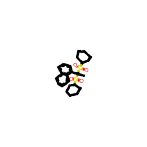 CC(c1cccc2ccccc12)(S(=O)(=O)C1CCCCC1)S(=O)(=O)C1CCCCC1